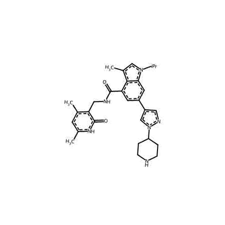 Cc1cc(C)c(CNC(=O)c2cc(-c3cnn(C4CCNCC4)c3)cc3c2c(C)cn3C(C)C)c(=O)[nH]1